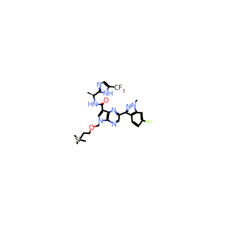 C[C@H](NC(=O)c1cn(COCC[Si](C)(C)C)c2ncc(-c3nn(C)c4cc(F)ccc34)nc12)c1ncc(C(F)(F)F)[nH]1